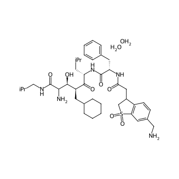 CC(C)CNC(=O)C(N)[C@@H](O)[C@H](CC1CCCCC1)C(=O)[C@H](CC(C)C)NC(=O)[C@H](Cc1ccccc1)NC(=O)CC1CS(=O)(=O)c2cc(CN)ccc21.O.O